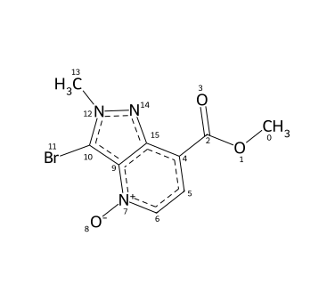 COC(=O)c1cc[n+]([O-])c2c(Br)n(C)nc12